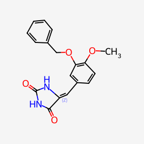 COc1ccc(/C=C2\NC(=O)NC2=O)cc1OCc1ccccc1